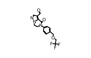 O=Cc1cnn2c1C(=O)N(c1ccc(COCC(F)(F)F)cc1)CC2